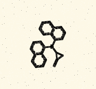 C=C1CC1B(c1cccc2ccccc12)c1cccc2ccccc12